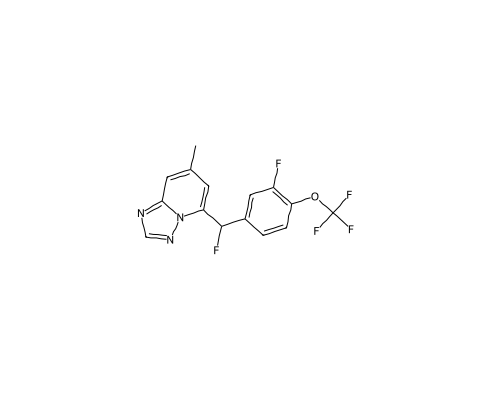 Cc1cc(C(F)c2ccc(OC(F)(F)F)c(F)c2)n2ncnc2c1